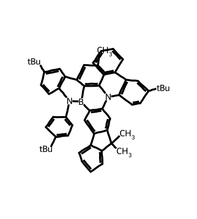 Cc1cc2c3c(c1)N(c1ccc(C(C)(C)C)cc1-c1ccccc1)c1cc4c(cc1B3N(c1ccc(C(C)(C)C)cc1)c1ccc(C(C)(C)C)cc1-2)-c1ccccc1C4(C)C